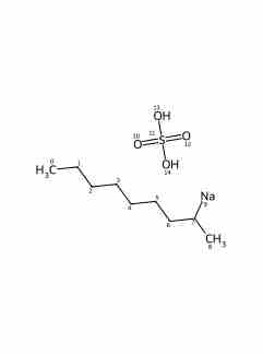 CCCCCCC[CH](C)[Na].O=S(=O)(O)O